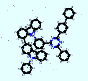 c1ccc(-c2ccc(-c3nc(-c4ccccc4)nc(-c4cccc(-n5c6ccccc6c6cccc(-c7ccc8c(c7)c7ccccc7n8-c7ccccc7)c65)c4)n3)cc2)cc1